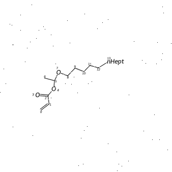 C=CC(=O)OC(C)OCCCCCCCCCCCC